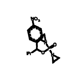 CC(C)C(OP(=O)(N1CC1)N1CC1)c1ccc([N+](=O)[O-])cc1